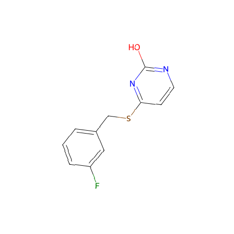 Oc1nccc(SCc2cccc(F)c2)n1